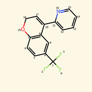 FC(F)(F)c1ccc2c(c1)C(c1ccccn1)=CCO2